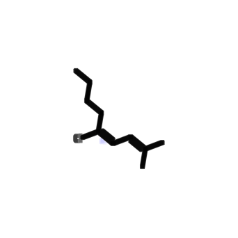 CCCC/C(Cl)=C\C=C(C)C